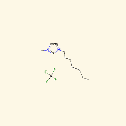 CCCCCCC[n+]1ccn(C)c1.F[B-](F)(F)F